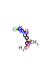 COc1ccc(-c2ccc3c(c2)CCN(C(=O)c2cc4ncc(Cl)cn4n2)C3CI)c(OC)n1